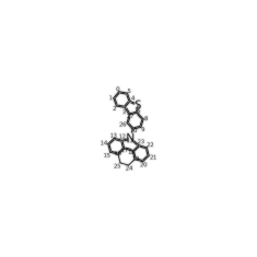 c1ccc2c(c1)sc1ccc(-n3c4cccc5c4c4c(cccc43)CC5)cc12